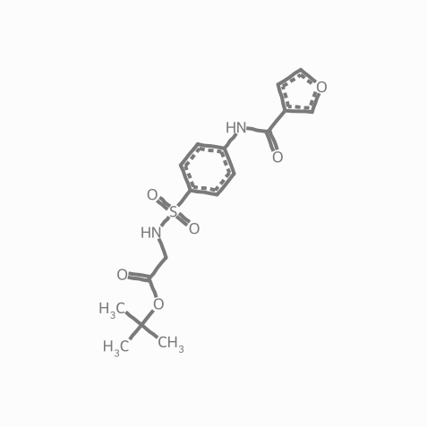 CC(C)(C)OC(=O)CNS(=O)(=O)c1ccc(NC(=O)c2ccoc2)cc1